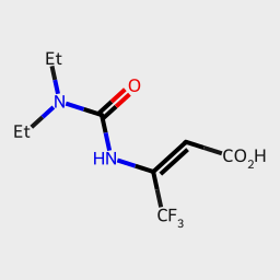 CCN(CC)C(=O)NC(=CC(=O)O)C(F)(F)F